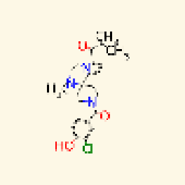 CC(C)C(=O)c1ccc2n1CCN(C)C21CCN(C(=O)c2ccc(O)c(Cl)c2)CC1